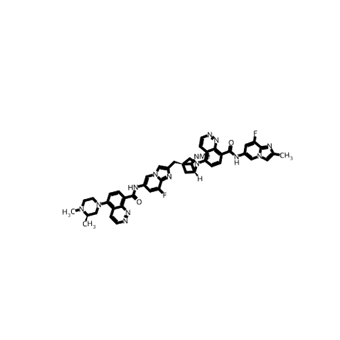 CNC1[C@H]2C[C@]1(Cc1cn3cc(NC(=O)c4ccc(N5CCN(C)[C@H](C)C5)c5ccnnc45)cc(F)c3n1)CN2c1ccc(C(=O)Nc2cc(F)c3nc(C)cn3c2)c2nnccc12